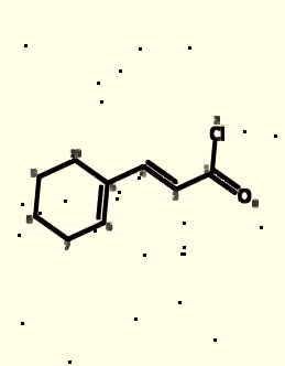 O=C(Cl)C=CC1=CCCCC1